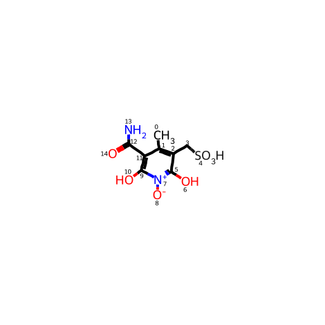 Cc1c(CS(=O)(=O)O)c(O)[n+]([O-])c(O)c1C(N)=O